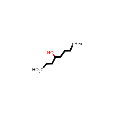 CCCCCCCCCC(O)CCC(=O)O